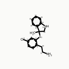 CC1(Sc2cc(Cl)ccc2CCN)CNc2ccccc21